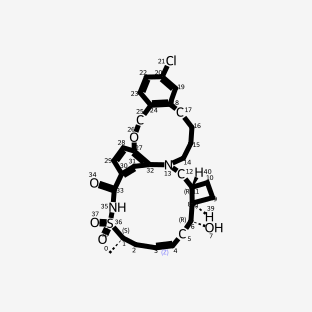 C[C@H]1C/C=C\C[C@@H](O)[C@@H]2CC[C@H]2CN2CCCCc3cc(Cl)ccc3COc3ccc(cc32)C(=O)NS1(=O)=O